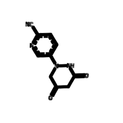 N#Cc1ccc(N2CC(=O)CC(=O)N2)cn1